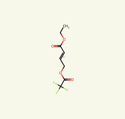 CCOC(=O)/C=C/COC(=O)C(F)(F)F